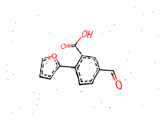 O=Cc1ccc(-c2ccco2)c(C(=O)O)c1